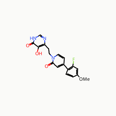 COc1ccc(-c2ccn(CCc3nc[nH]c(=O)c3O)c(=O)c2)c(F)c1